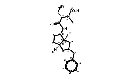 CC(C)C[C@@H](C(=O)N[C@@H]1CC[C@@H]2CN(Cc3ccccc3)C[C@@H]21)N(C)C(=O)O